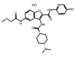 COCC(=O)Nc1ccc2oc(C(=O)Nc3ccc(Cl)cn3)c(NC(=O)[C@H]3CC[C@H](N(C)C)CC3)c2c1.Cl